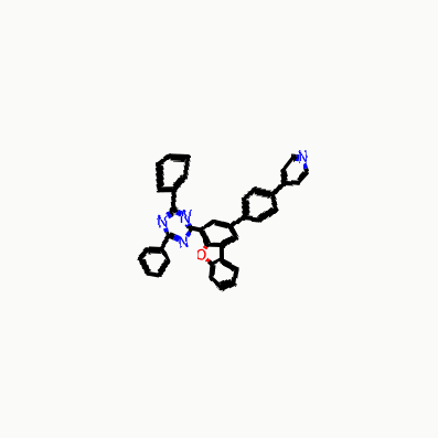 c1ccc(-c2nc(-c3ccccc3)nc(-c3cc(-c4ccc(-c5ccncc5)cc4)cc4c3oc3ccccc34)n2)cc1